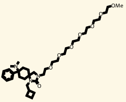 COCCOCCOCCOCCOCCOCCOCCN1CC2(CCC(c3ccccc3)(N(C)C)CC2)N(CC2CCC2)C1=O